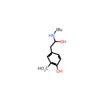 CC(C)(C)NC(O)Cc1ccc(O)c(C(=O)O)c1